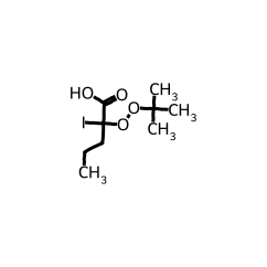 CCCC(I)(OOC(C)(C)C)C(=O)O